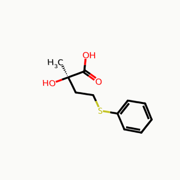 C[C@@](O)(CCSc1ccccc1)C(=O)O